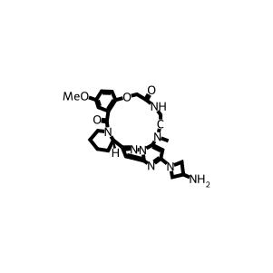 COc1ccc2c(c1)C(=O)N1CCCC[C@H]1c1cc3nc(N4CC(N)C4)cc(n3n1)N(C)CCNC(=O)CO2